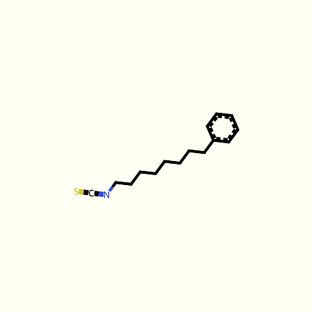 S=C=NCCCCCCCCc1ccccc1